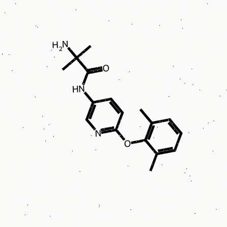 Cc1cccc(C)c1Oc1ccc(NC(=O)C(C)(C)N)cn1